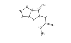 CC(C)(C)OC(=O)CC1CC2COCN2C1=O